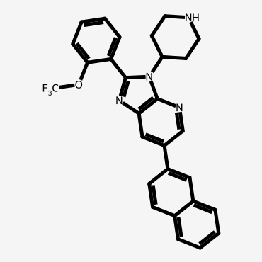 FC(F)(F)Oc1ccccc1-c1nc2cc(-c3ccc4ccccc4c3)cnc2n1C1CCNCC1